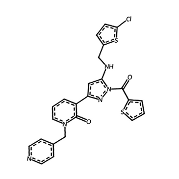 O=C(c1cccs1)n1nc(-c2cccn(Cc3ccncc3)c2=O)cc1NCc1ccc(Cl)s1